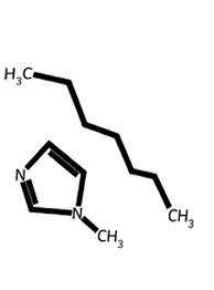 CCCCCCC.Cn1ccnc1